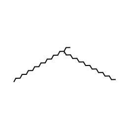 CCCCCCCCCCCCCCCC[C](CC)CCCCCCCCCCCCCCCC